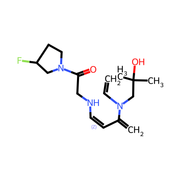 C=CN(CC(C)(C)O)C(=C)/C=C\NCC(=O)N1CCC(F)C1